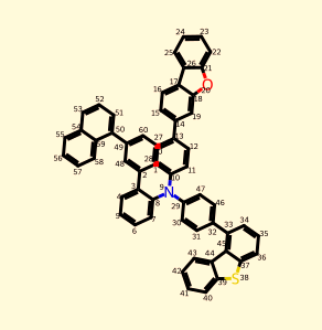 c1cc(-c2ccccc2N(c2ccc(-c3ccc4c(c3)oc3ccccc34)cc2)c2ccc(-c3cccc4sc5ccccc5c34)cc2)cc(-c2cccc3ccccc23)c1